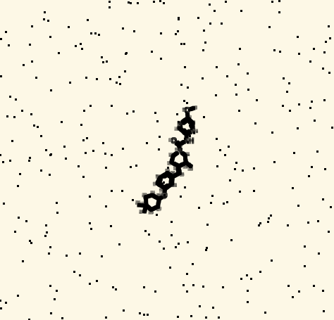 COc1cnc(NC(=O)N2CCC(=Cc3cccc(OC4CCC(C)(C)CC4)c3)C(C)C2)cn1